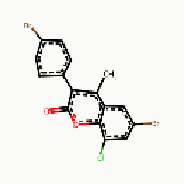 Cc1c(-c2ccc(Br)cc2)c(=O)oc2c(Cl)cc(Br)cc12